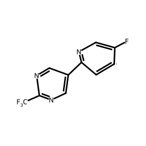 Fc1[c]cc(-c2cnc(C(F)(F)F)nc2)nc1